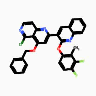 Cc1c(Oc2nc3ccccc3cc2-c2cc(OCc3ccccc3)c3c(Cl)nccc3n2)ccc(F)c1F